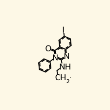 [CH2]CNc1nc2ccc(I)cc2c(=O)n1-c1ccccc1